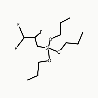 CCCO[Si](CC(F)C(F)F)(OCCC)OCCC